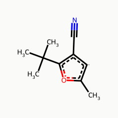 Cc1[c]c(C#N)c(C(C)(C)C)o1